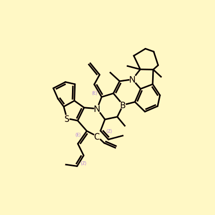 C=C/C=C1\C2=C(C)N3c4c(cccc4C4(C)CCCCC34C)B2C(C)C(/C=C\C)N1c1c(/C(=C/C=C\C)CC=C)sc2ccccc12